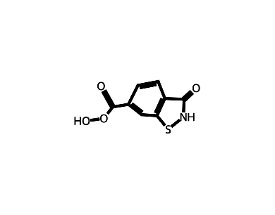 O=C(OO)c1ccc2c(=O)[nH]sc2c1